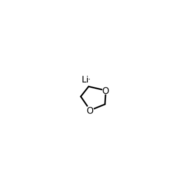 C1COCO1.[Li]